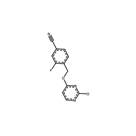 N#Cc1ccc(COc2ccnc(Cl)n2)c(F)c1